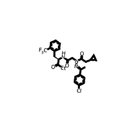 CCC(=O)[C@@H](Cc1ccccc1C(F)(F)F)NC(=O)CN(/N=C(\C)c1ccc(Cl)cc1)C(=O)CC1CC1